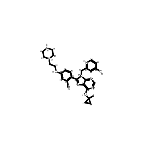 CC1(Oc2ncnc3c2nc(-c2ccc(OCCN4CCNCC4)cc2Br)n3Cc2cc(Cl)ccn2)CC1